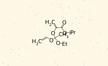 C=COC(C)(OCC)OC(=C)C(=O)OC(C)C